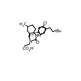 CC1CC[C@]2(c3ccc(CCC(C)(C)C)c(Cl)c3)NC(=O)N(CCC(=O)O)C=C2C1